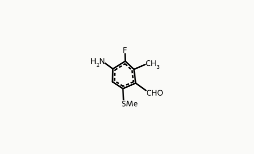 CSc1cc(N)c(F)c(C)c1C=O